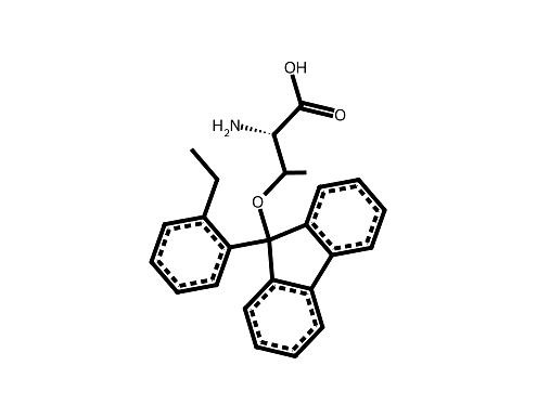 CCc1ccccc1C1(OC(C)[C@H](N)C(=O)O)c2ccccc2-c2ccccc21